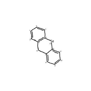 [c]1cccc2c1Cc1ccccc1[Se]2